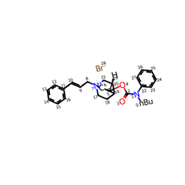 CCCCN(C(=O)O[C@H]1C[N+]2(CC=Cc3ccccc3)CCC1CC2)c1ccccc1.[Br-]